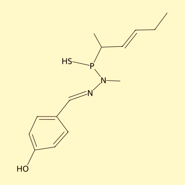 CCC=CC(C)P(S)N(C)/N=C/c1ccc(O)cc1